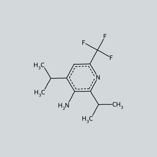 CC(C)c1cc(C(F)(F)F)nc(C(C)C)c1N